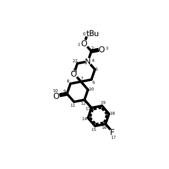 CC(C)(C)OC(=O)N1CCC2(CC(=O)CC(c3ccc(F)cc3)C2)OC1